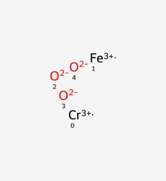 [Cr+3].[Fe+3].[O-2].[O-2].[O-2]